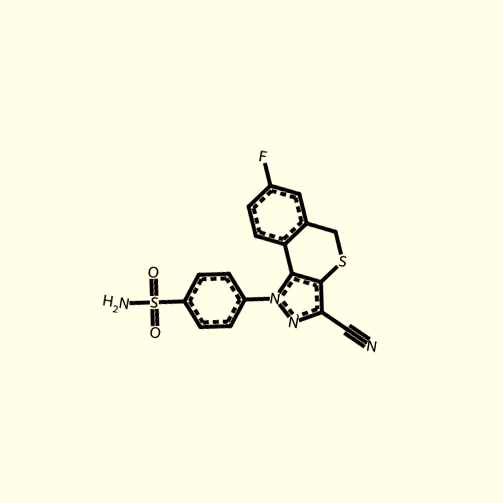 N#Cc1nn(-c2ccc(S(N)(=O)=O)cc2)c2c1SCc1cc(F)ccc1-2